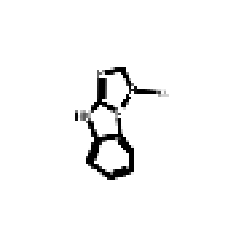 CCN1CN=C2Nc3ccccc3N21